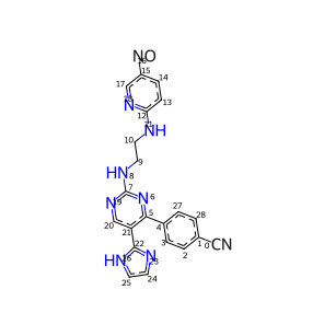 N#Cc1ccc(-c2nc(NCCNc3ccc(N=O)cn3)ncc2-c2ncc[nH]2)cc1